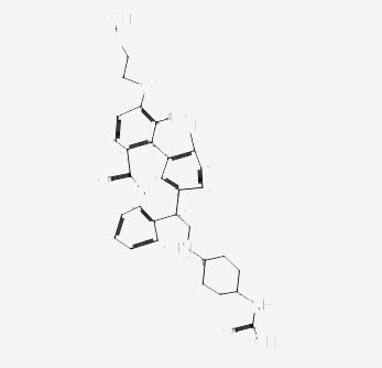 COCCOc1ccc(C(N)=O)c(-c2cc(C(CNC3CCC(NC(C)=O)CC3)c3ccccc3)ccc2Cl)c1F